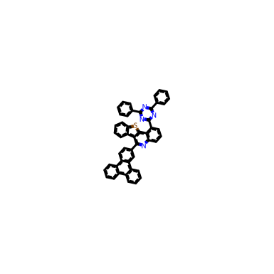 c1ccc(-c2nc(-c3ccccc3)nc(-c3cccc4nc(-c5ccc6c7ccccc7c7ccccc7c6c5)c5c6ccccc6sc5c34)n2)cc1